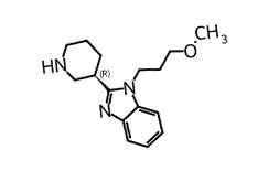 COCCCn1c([C@@H]2CCCNC2)nc2ccccc21